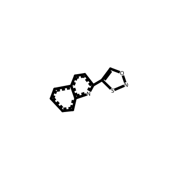 C1=C(c2ccc3ccccc3n2)S[N]O1